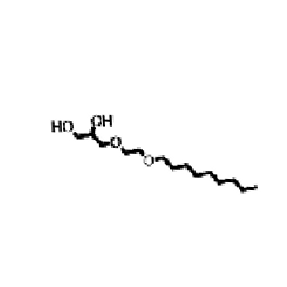 CCCCCCCCCOCCOCC(O)CO